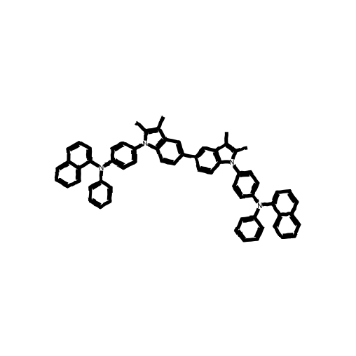 Cc1c(C)n(-c2ccc(N(c3ccccc3)c3cccc4ccccc34)cc2)c2ccc(-c3ccc4c(c3)c(C)c(C)n4-c3ccc(N(c4ccccc4)c4cccc5ccccc45)cc3)cc12